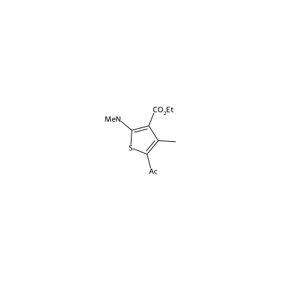 CCOC(=O)c1c(NC)sc(C(C)=O)c1C